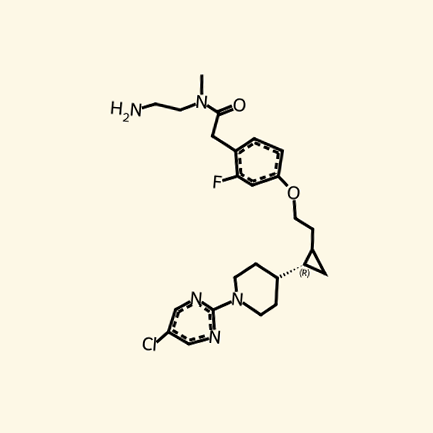 CN(CCN)C(=O)Cc1ccc(OCCC2C[C@@H]2C2CCN(c3ncc(Cl)cn3)CC2)cc1F